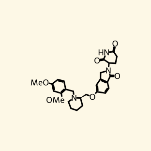 COc1ccc(CN2CCCC[C@@H]2COc2ccc3c(c2)CN(C2CCC(=O)NC2=O)C3=O)c(OC)c1